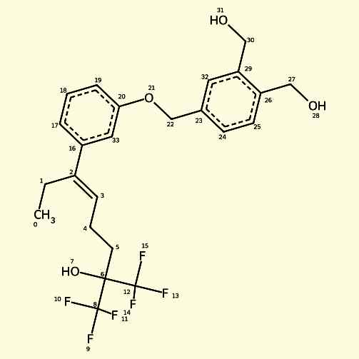 CCC(=CCCC(O)(C(F)(F)F)C(F)(F)F)c1cccc(OCc2ccc(CO)c(CO)c2)c1